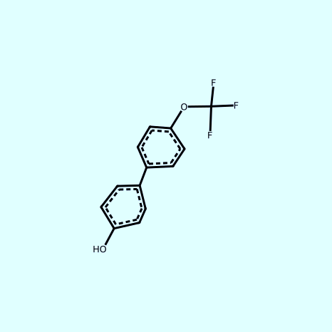 Oc1ccc(-c2ccc(OC(F)(F)F)cc2)cc1